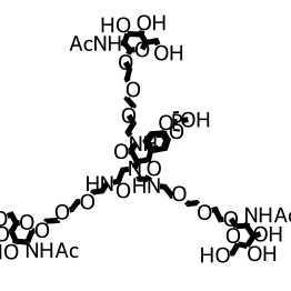 CC(=O)NC1C(OCCOCCOCCNC(=O)CN(CC(=O)NCCOCCOCCOC2OC(CO)C(O)C(O)C2NC(C)=O)C(Cc2ccc(OP(C)(=O)O)cc2)C(=O)NCCOCCOCCOC2OC(CO)C(O)C(O)C2NC(C)=O)OC(CO)C(O)C1O